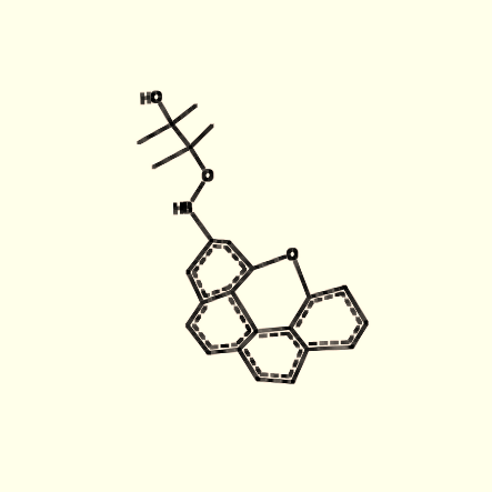 CC(C)(O)C(C)(C)OBc1cc2c3c(ccc4ccc5cccc(c5c43)O2)c1